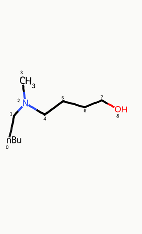 CCCCCN(C)CCCCO